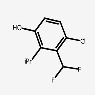 CC(C)c1c(O)ccc(Cl)c1C(F)F